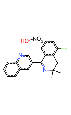 CC1(C)Cc2c(F)cccc2C(c2cnc3ccccc3c2)=N1.O=[N+]([O-])O